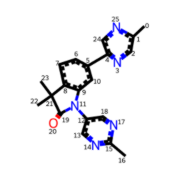 Cc1cnc(-c2ccc3c(c2)N(c2cnc(C)nc2)C(=O)C3(C)C)cn1